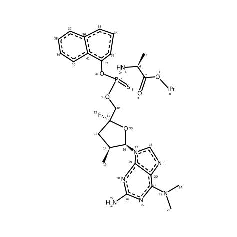 CC(C)OC(=O)[C@H](C)N[P@](=S)(OC[C@]1(F)C[C@H](C)[C@H](n2cnc3c(N(C)C)nc(N)nc32)O1)Oc1cccc2ccccc12